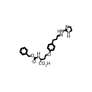 O=C(N[C@@H](CCOc1ccc(CCC=NNC2=NCCN2)cc1)C(=O)O)OCc1ccccc1